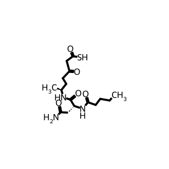 CCCCC(=O)N[C@H](CC(N)=O)C(=O)N[C@@H](C)CCC(=O)CC(=O)S